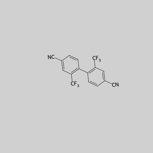 N#Cc1ccc(-c2ccc(C#N)cc2C(F)(F)F)c(C(F)(F)F)c1